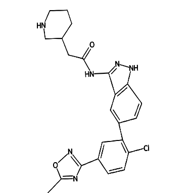 Cc1nc(-c2ccc(Cl)c(-c3ccc4[nH]nc(NC(=O)CC5CCCNC5)c4c3)c2)no1